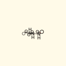 O=C(CCC(=O)C1CCCCCCC1)NCC(=O)NCCCCC1NC2c3cccccccc(c3)C2C1=O